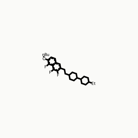 CCCCOc1ccc2cc(CCC3CCC(C4CCC(CC)CC4)CC3)c(F)c(F)c2c1F